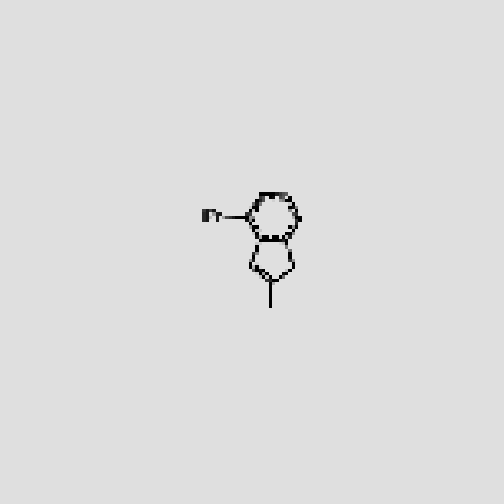 CC1=Cc2c(cccc2C(C)C)C1